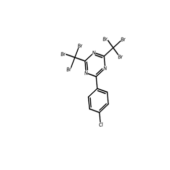 Clc1ccc(-c2nc(C(Br)(Br)Br)nc(C(Br)(Br)Br)n2)cc1